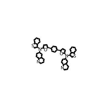 c1cnc2ccc(N(c3ccc(-c4ccc(-c5ccc(N(c6ccc7ncccc7c6)c6csc7ccccc67)o5)cc4)o3)c3csc4ccccc34)cc2c1